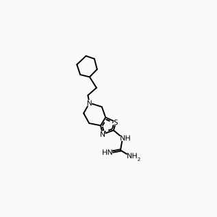 N=C(N)Nc1nc2c(s1)CN(CCC1CCCCC1)CC2